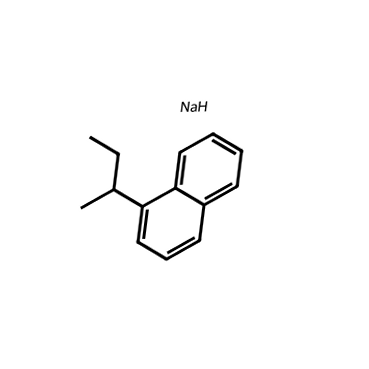 CCC(C)c1cccc2ccccc12.[NaH]